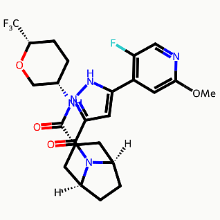 COc1cc(-c2cc(C(=O)N3[C@@H]4CC[C@H]3C[C@H](C(=O)N[C@H]3CC[C@@H](C(F)(F)F)OC3)C4)n[nH]2)c(F)cn1